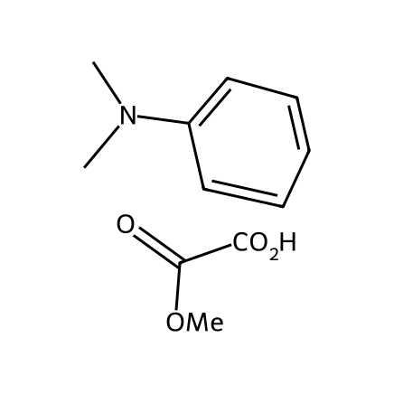 CN(C)c1ccccc1.COC(=O)C(=O)O